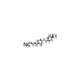 CCc1ccc(CCC2CCC(C=CC=CC#N)CC2)cc1